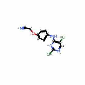 N#CCOc1ccc(Nc2nc(Cl)ncc2Cl)cc1